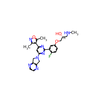 CNC[C@@H](O)COc1ccc(F)c(-c2nc(-c3c(C)noc3C)cc(N3Cc4nccnc4C3)n2)c1